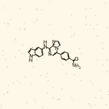 NC(=O)c1ccc(-c2cnc(Nc3ccc4[nH]ccc4c3)c3nccn23)cc1